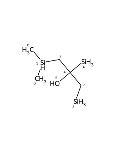 C[SiH](C)CC(O)([SiH3])C[SiH3]